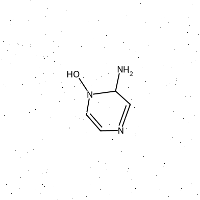 NC1C=NC=CN1O